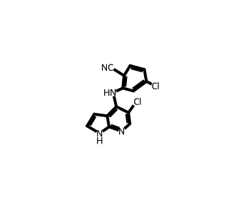 N#Cc1ccc(Cl)cc1Nc1c(Cl)cnc2[nH]ccc12